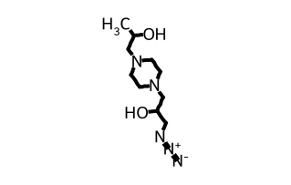 CC(O)CN1CCN(CC(O)CN=[N+]=[N-])CC1